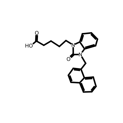 O=C(O)CCCCn1c(=O)n(Cc2cccc3ccccc23)c2ccccc21